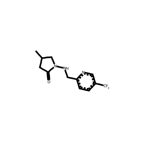 CC1CC(=O)N(NCc2ccc(C(F)(F)F)cn2)C1